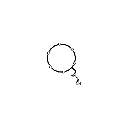 N=NNCC1COCCOCCOCCOCCOCCO1